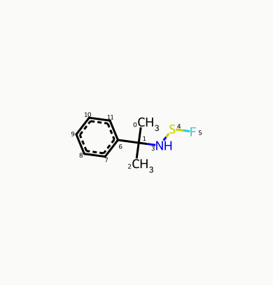 CC(C)(NSF)c1ccccc1